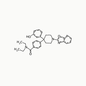 CCN(CC)C(=O)c1ccc(C2(c3cccc(O)c3)CCN(c3nc4ccccc4o3)CC2)cc1